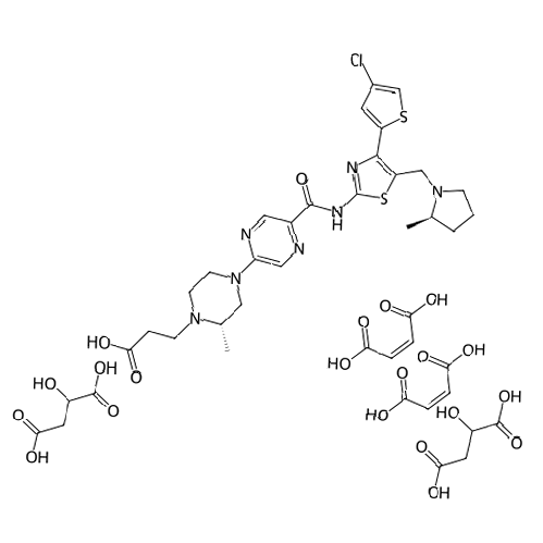 C[C@@H]1CCCN1Cc1sc(NC(=O)c2cnc(N3CCN(CCC(=O)O)[C@@H](C)C3)cn2)nc1-c1cc(Cl)cs1.O=C(O)/C=C\C(=O)O.O=C(O)/C=C\C(=O)O.O=C(O)CC(O)C(=O)O.O=C(O)CC(O)C(=O)O